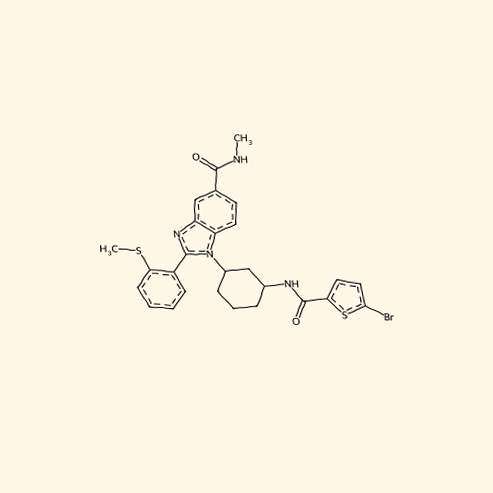 CNC(=O)c1ccc2c(c1)nc(-c1ccccc1SC)n2C1CCCC(NC(=O)c2ccc(Br)s2)C1